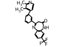 Cc1nccc(-c2cccc(C3=Nc4ccc(C(F)(F)F)cc4NC(=O)C3)c2)c1C